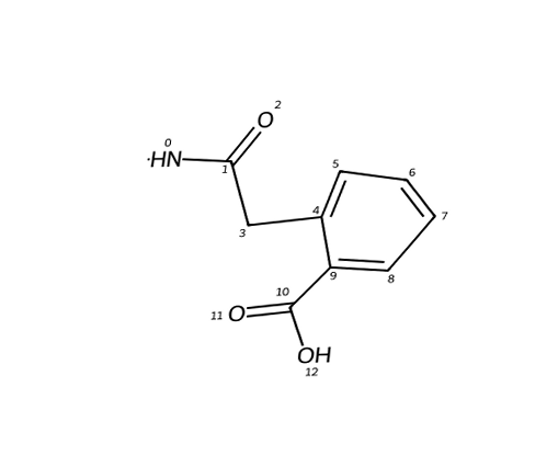 [NH]C(=O)Cc1ccccc1C(=O)O